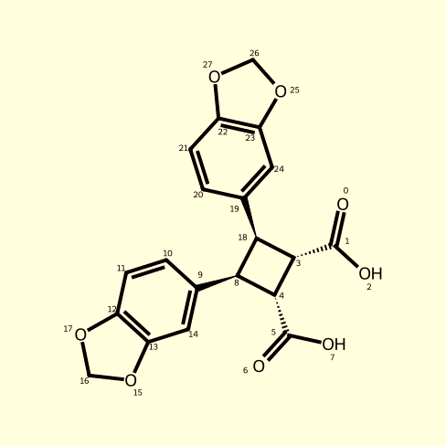 O=C(O)[C@@H]1[C@H](C(=O)O)[C@@H](c2ccc3c(c2)OCO3)[C@H]1c1ccc2c(c1)OCO2